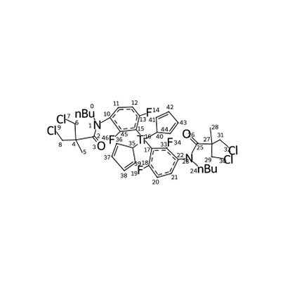 CCCCN(C(=O)C(C)(CCl)CCl)c1ccc(F)[c]([Ti]([c]2c(F)ccc(N(CCCC)C(=O)C(C)(CCl)CCl)c2F)([CH]2C=CC=C2)[CH]2C=CC=C2)c1F